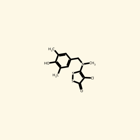 Cc1cc(CN(C)c2ssc(=O)c2Cl)cc(C)c1O